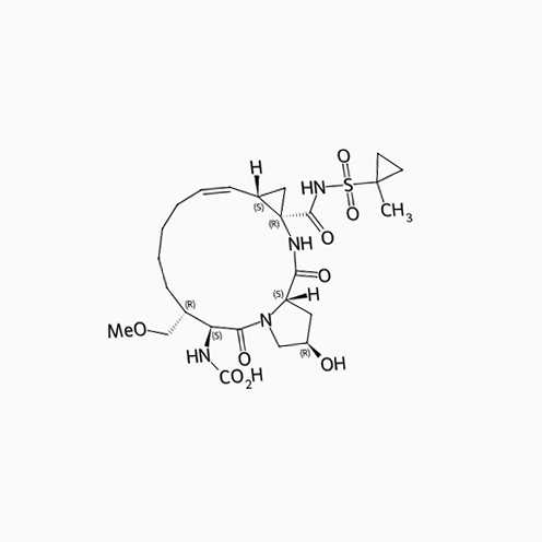 COC[C@@H]1CCCCC=C[C@@H]2C[C@@]2(C(=O)NS(=O)(=O)C2(C)CC2)NC(=O)[C@@H]2C[C@@H](O)CN2C(=O)[C@H]1NC(=O)O